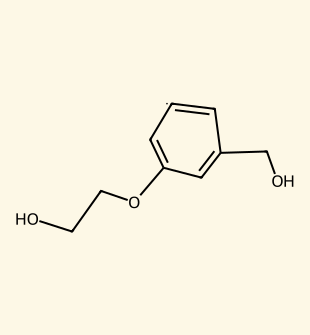 OCCOc1c[c]cc(CO)c1